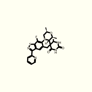 CC1NC(=O)NC(=O)C12Cc1cc3c(-c4ccccn4)nsc3c(F)c1N1C[C@@H](C)O[C@@H](C)[C@@H]12